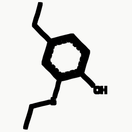 CCSc1cc(CC)ccc1O